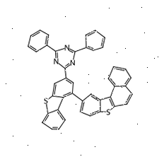 c1ccc(-c2nc(-c3ccccc3)nc(-c3cc(-c4ccc5sc6ccc7ccccc7c6c5c4)c4c(c3)sc3ccccc34)n2)cc1